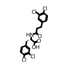 O=C(CCc1ccc(Cl)c(Cl)c1)N[C@@H](Cc1ccc(Cl)c(Cl)c1)C(=O)O